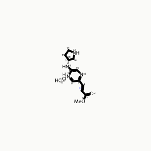 COC(=O)/C=C/c1cnc(N[C@@H]2CCNC2)cn1.Cl.Cl